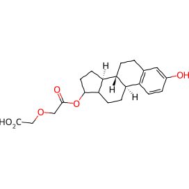 O=C(O)COCC(=O)OC1CC[C@@H]2C1CC[C@@H]1c3ccc(O)cc3CC[C@H]12